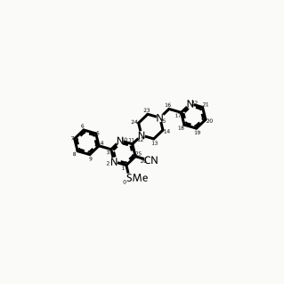 CSc1nc(-c2ccccc2)nc(N2CCN(Cc3ccccn3)CC2)c1C#N